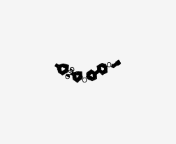 C#CCOc1ccc(-c2ccc(Oc3ccc(S(=O)(=O)c4ccc(C)cc4)cc3)cc2)cc1